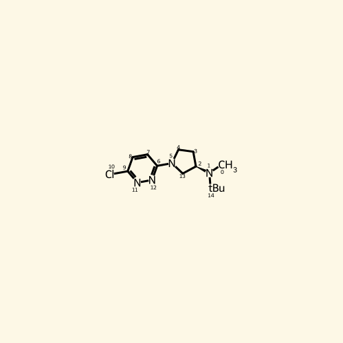 CN([C@@H]1CCN(c2ccc(Cl)nn2)C1)C(C)(C)C